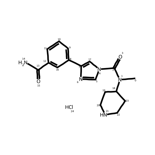 CN(C(=O)n1cnc(-c2cccc(C(N)=O)c2)c1)C1CCNCC1.Cl